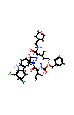 CCC(C)[C@H](NC(=O)OCc1ccccc1)C(=O)N[C@]1(C(=O)N[C@H](C(=O)NCC2CCOCC2)C(C)CC)CCc2[nH]c3c(Cl)cc(Cl)cc3c2C1